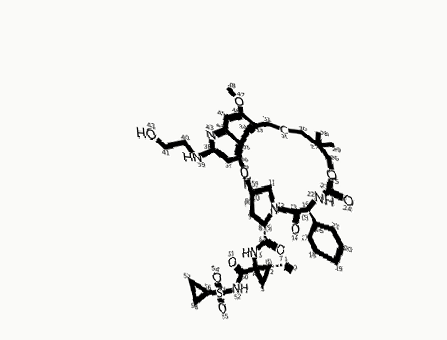 C=C[C@@H]1CC1(NC(=O)[C@@H]1C[C@@H]2CN1C(=O)[C@H](C1CCCCC1)NC(=O)OCC(C)(C)CCCc1cc3c(cc(NCCO)nc3cc1OC)O2)C(=O)NS(=O)(=O)C1CC1